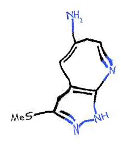 CSc1n[nH]c2ncc(N)cc12